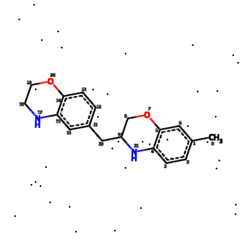 Cc1ccc2c(c1)OCC(Cc1ccc3c(c1)NCCO3)N2